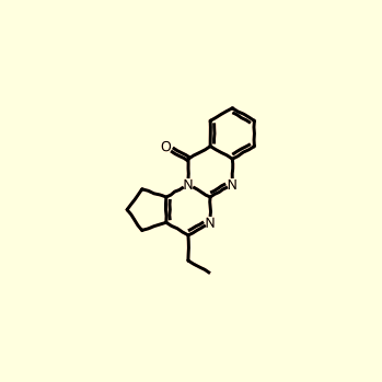 CCc1nc2nc3ccccc3c(=O)n2c2c1CCC2